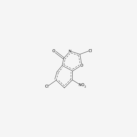 O=c1nc(Cl)oc2c([N+](=O)[O-])cc(Cl)cc12